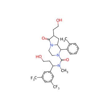 Cc1ccccc1C1C2CC(CCO)C(=O)N2CCN1C(=O)N(C)C(CCO)c1cc(C(F)(F)F)cc(C(F)(F)F)c1